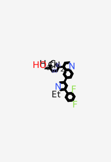 C=C(/C=C\C(=C/C)c1ccnc2ccc(-c3cnc(CC)c(-c4ccc(F)cc4F)c3)cc12)CO